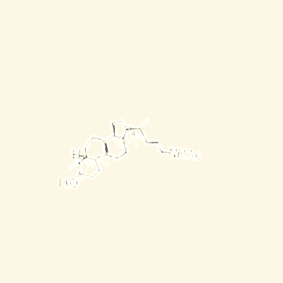 CC(=O)NCCC[C@@H](C)[C@H]1CC=C2C3=C(CC[C@@]21C)[C@@]1(C)CC[C@H](O)C(C)(C)[C@@H]1CC3